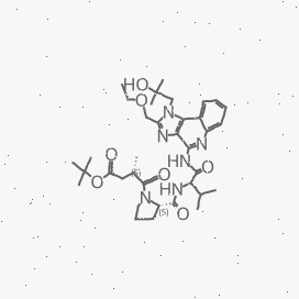 CCOCc1nc2c(NC(=O)C(NC(=O)[C@@H]3CCCN3C(=O)[C@@H](C)CC(=O)OC(C)(C)C)C(C)C)nc3ccccc3c2n1CC(C)(C)O